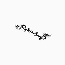 CO[C@H]1C#CCCN(C(=O)CCCCC(=O)OCCOCCOC(=O)CCC(=O)N2CCC#C[C@H](OC)[C@@H](OC)C2)C[C@@H]1OC